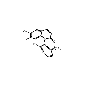 Cc1ccnc(C(C)C)c1-n1c(=O)ccc2cc(Br)c(I)cc21